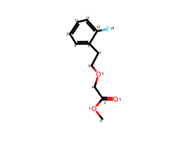 COC(=O)COCCc1ccccc1F